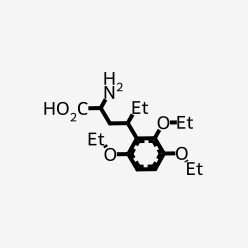 CCOc1ccc(OCC)c(C(CC)CC(N)C(=O)O)c1OCC